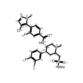 CNS(=O)(=O)CC1C[C@@H](c2ccc(F)c(F)c2)[C@H](NC(=O)c2ccc(-c3c(Cl)cnn3C)c(F)c2)CN1C